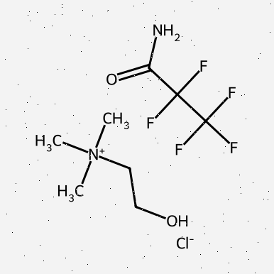 C[N+](C)(C)CCO.NC(=O)C(F)(F)C(F)(F)F.[Cl-]